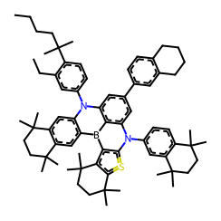 CCCCC(C)(C)c1ccc(N2c3cc4c(cc3B3c5c2cc(-c2ccc6c(c2)CCCC6)cc5N(c2ccc5c(c2)C(C)(C)CCC5(C)C)c2sc5c(c23)C(C)(C)CCC5(C)C)C(C)(C)CCC4(C)C)cc1CC